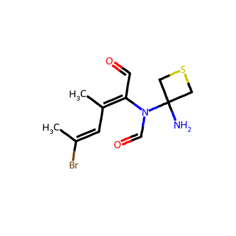 CC(/C=C(\C)Br)=C(\C=O)N(C=O)C1(N)CSC1